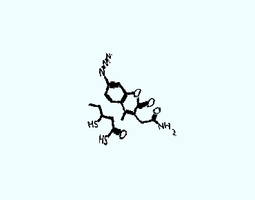 CCC(S)CC(=O)S.Cc1c(CC(N)=O)c(=O)oc2cc(N=[N+]=[N-])ccc12